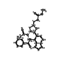 COC(=O)OC[C@@H]1C[C@@H](OC(C)=O)[C@H](n2cnc3ncnc-3c2NC(=O)c2ccccc2)O1